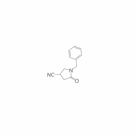 N#CC1CC(=O)N(Cc2ccccc2)C1